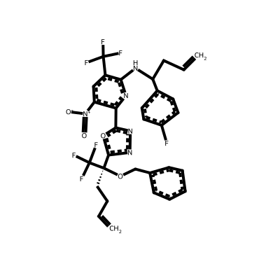 C=CCC[C@@](OCc1ccccc1)(c1nnc(-c2nc(NC(CC=C)c3ccc(F)cc3)c(C(F)(F)F)cc2[N+](=O)[O-])o1)C(F)(F)F